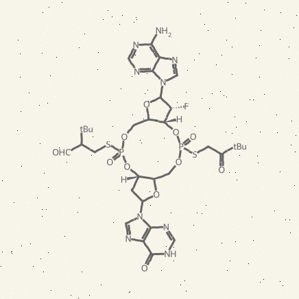 CC(C)(C)C(=O)CSP1(=O)OCC2OC(n3cnc4c(=O)[nH]cnc43)C[C@@H]2OP(=O)(SCC(C=O)C(C)(C)C)OCC2OC(n3cnc4c(N)ncnc43)[C@H](F)[C@@H]2O1